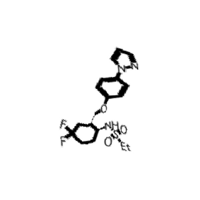 CCS(=O)(=O)N[C@H]1CCC(F)(F)C[C@@H]1COc1ccc(-n2cccn2)cc1